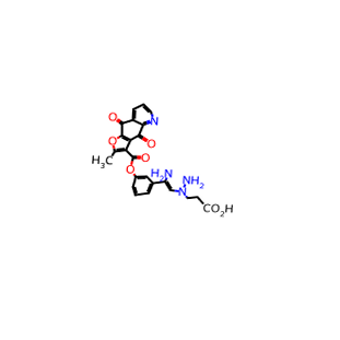 Cc1oc2c(c1C(=O)Oc1cccc(/C(N)=C/N(N)CCC(=O)O)c1)C(=O)c1ncccc1C2=O